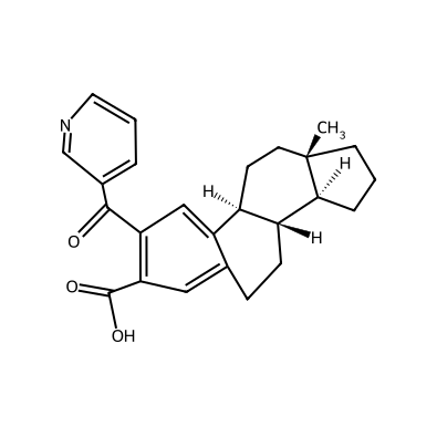 C[C@@]12CCC[C@H]1[C@@H]1CCc3cc(C(=O)O)c(C(=O)c4cccnc4)cc3[C@H]1CC2